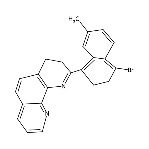 Cc1ccc2c(c1)=C(C1=Nc3c(ccc4cccnc34)CC1)CCC=2Br